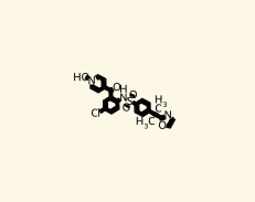 CC(C)(c1ccc(S(=O)(=O)Nc2ccc(Cl)cc2C(=O)c2cc[n+](O)cc2)cc1)c1ncco1